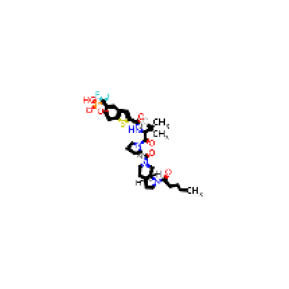 CCCCC(=O)N1CC[C@@H]2CCN(C(=O)[C@@H]3CCCN3C(=O)C(NC(=O)c3cc4cc(C(F)(F)P(=O)(O)O)ccc4s3)C(C)(C)C)C[C@@H]21